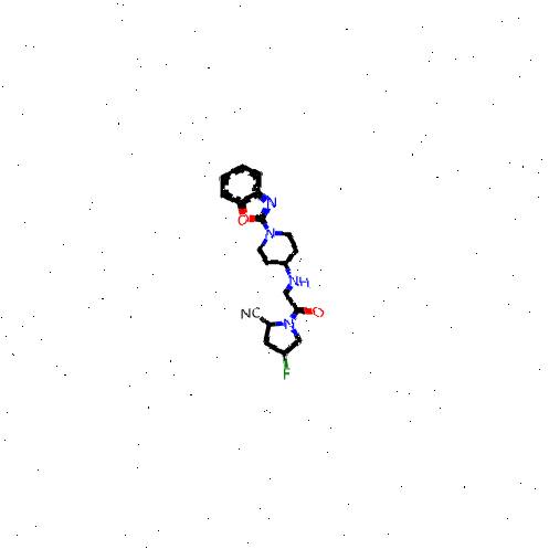 N#CC1C[C@H](F)CN1C(=O)CNC1CCN(c2nc3ccccc3o2)CC1